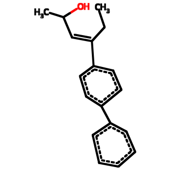 CCC(=CC(C)O)c1ccc(-c2ccccc2)cc1